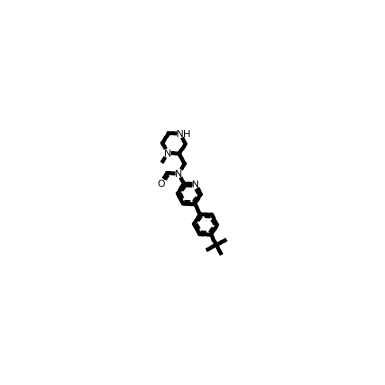 CN1CCNCC1CN(C=O)c1ccc(-c2ccc(C(C)(C)C)cc2)cn1